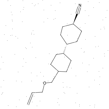 C=CCOCC1CCC([C@H]2CC[C@H](C#N)CC2)CC1